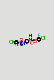 O=C(COc1ccc(Cl)c(F)c1)NC1CCC(N2CCN(c3ccc(Cl)cn3)C2=O)CC1